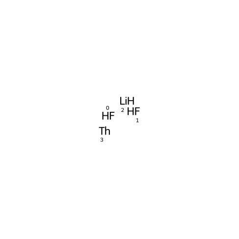 F.F.[LiH].[Th]